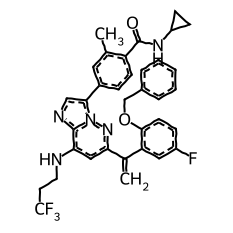 C=C(c1cc(NCCC(F)(F)F)c2ncc(-c3ccc(C(=O)NC4CC4)c(C)c3)n2n1)c1cc(F)ccc1OCc1ccccc1